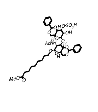 COC(=O)CCCCCCCCO[C@@H]1O[C@@H]2COC(c3ccccc3)O[C@H]2[C@H](O[C@@H]2O[C@@H]3COC(c4ccccc4)O[C@@H]3[C@H](OS(=O)(=O)O)[C@H]2O)[C@H]1NC(C)=O